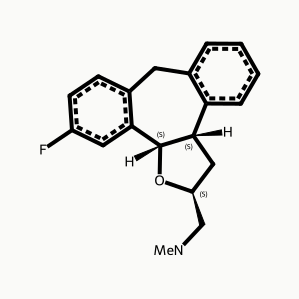 CNC[C@@H]1C[C@H]2c3ccccc3Cc3ccc(F)cc3[C@H]2O1